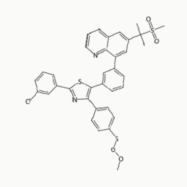 COOSc1ccc(-c2nc(-c3cccc(Cl)c3)sc2-c2cccc(-c3cc(C(C)(C)S(C)(=O)=O)cc4cccnc34)c2)cc1